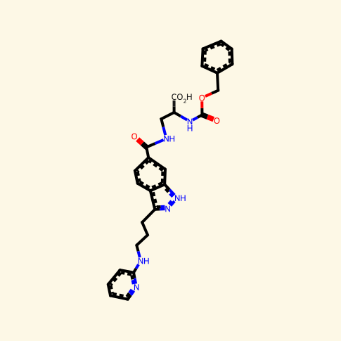 O=C(NC(CNC(=O)c1ccc2c(CCCNc3ccccn3)n[nH]c2c1)C(=O)O)OCc1ccccc1